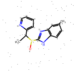 Cc1ccc2[nH]c([S+]([O-])C(C)c3ccccn3)nc2c1